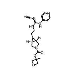 CC1(OC(=O)N2C[C@@H]3[C@@H](CCN/C(=N\C#N)Nc4ccncc4)[C@@H]3C2)COC1